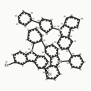 CCc1ccc2c(c1)c1cc(CC)ccc1n2-c1ccccc1-c1ccc2c(c1)c1ccccc1n2-c1ccccc1-c1ccc2c(c1)c1ccccc1n2-c1ccc(-c2ccccc2)cc1